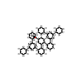 N#Cc1ccc(-c2ccccc2-c2nc(-c3ccccc3)nc(-c3ccccc3)n2)c(-c2ccccc2-c2nc(-c3ccccc3)nc(-c3ccccc3)n2)c1